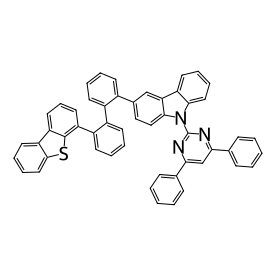 c1ccc(-c2cc(-c3ccccc3)nc(-n3c4ccccc4c4cc(-c5ccccc5-c5ccccc5-c5cccc6c5sc5ccccc56)ccc43)n2)cc1